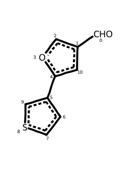 O=Cc1coc(-c2ccsc2)c1